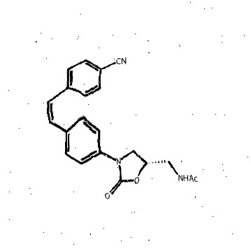 CC(=O)NC[C@H]1CN(c2ccc(/C=C\c3ccc(C#N)cc3)cc2)C(=O)O1